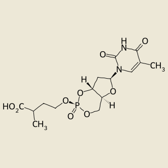 Cc1cn([C@@H]2C[C@H]3O[P@](=O)(OCCC(C)C(=O)O)OC[C@@H]3O2)c(=O)[nH]c1=O